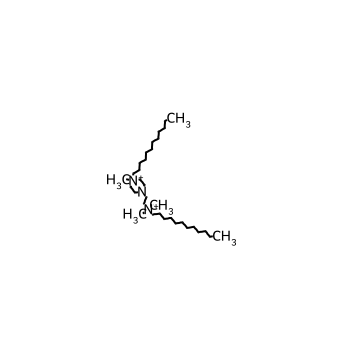 CCCCCCCCCCCC[N+](C)(C)CCN1CC[N+](C)(CCCCCCCCCCCC)CC1